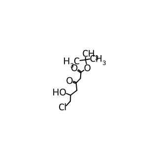 CC(C)(C)OC(=O)CC(=O)CC(O)CCl